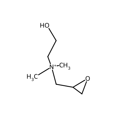 C[N+](C)(CCO)CC1CO1